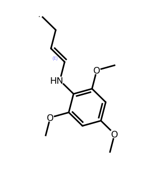 [CH2]C/C=C/Nc1c(OC)cc(OC)cc1OC